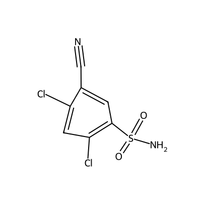 N#Cc1cc(S(N)(=O)=O)c(Cl)cc1Cl